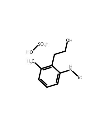 CCNc1cccc(C)c1CCO.O=S(=O)(O)O